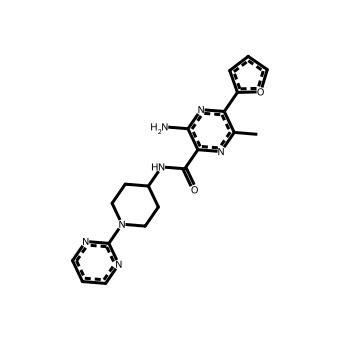 Cc1nc(C(=O)NC2CCN(c3ncccn3)CC2)c(N)nc1-c1ccco1